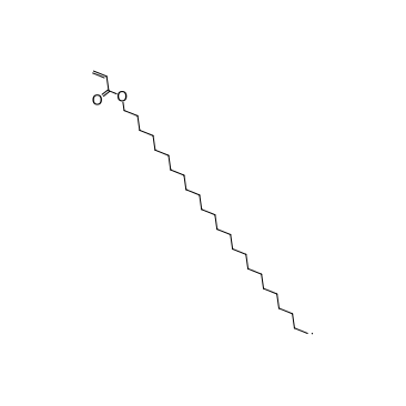 [CH2]CCCCCCCCCCCCCCCCCCCCCCCOC(=O)C=C